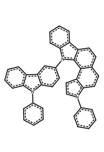 c1ccc(-n2ccc3c4c(ccc5c6ccccc6n(-c6ccc7c(c6)c6ccccc6n7-c6ccccc6)c54)ccc32)cc1